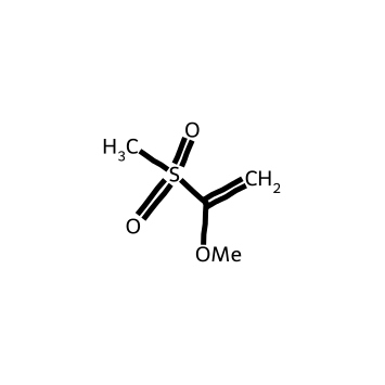 C=C(OC)S(C)(=O)=O